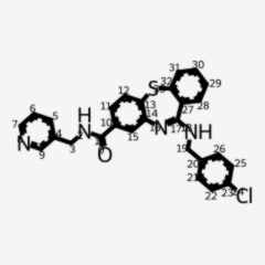 O=C(NCc1cccnc1)c1ccc2c(c1)N=C(NCc1ccc(Cl)cc1)c1ccccc1S2